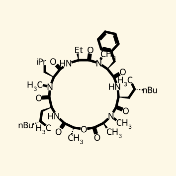 CCCC[C@@H](C)C[C@@H]1NC(=O)[C@H](Cc2ccccc2)N(C)C(=O)[C@H](CC)NC(=O)[C@H](CC(C)C)N(C)C(=O)[C@H](C[C@H](C)CCCC)NC(=O)[C@@H](C)OC(=O)[C@H](C)N(C)C1=O